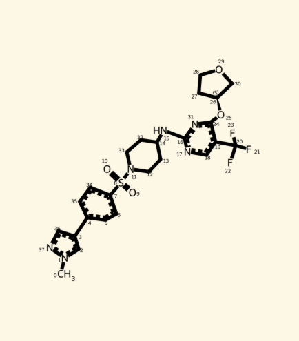 Cn1cc(-c2ccc(S(=O)(=O)N3CCC(Nc4ncc(C(F)(F)F)c(O[C@H]5CCOC5)n4)CC3)cc2)cn1